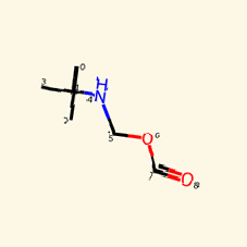 CC(C)(C)N[CH]OC=O